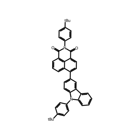 CC(C)(C)c1ccc(N2C(=O)c3cccc4c(-c5ccc6c(c5)c5ccccc5n6-c5ccc(C(C)(C)C)cc5)ccc(c34)C2=O)cc1